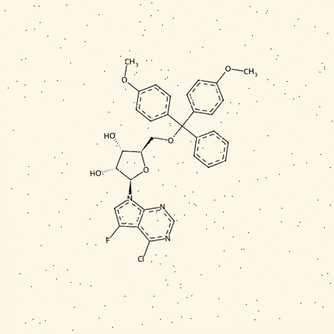 COc1ccc(C(OC[C@H]2O[C@@H](n3cc(F)c4c(Cl)ncnc43)[C@H](O)[C@@H]2O)(c2ccccc2)c2ccc(OC)cc2)cc1